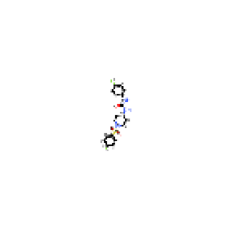 O=C(Nc1ccc(F)cc1)NC1CCN(S(=O)(=O)c2ccc(F)cc2)CC1